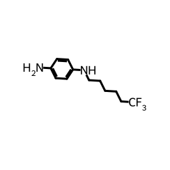 Nc1ccc(NCCCCCC(F)(F)F)cc1